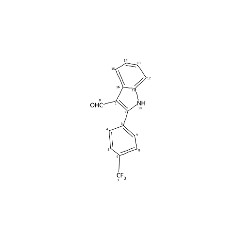 O=Cc1c(-c2ccc(C(F)(F)F)cc2)[nH]c2ccccc12